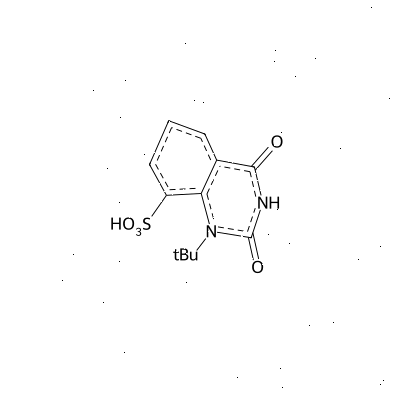 CC(C)(C)n1c(=O)[nH]c(=O)c2cccc(S(=O)(=O)O)c21